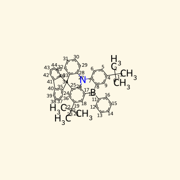 CC(C)(C)c1ccc2c(c1)B(c1ccccc1)c1cc(C(C)(C)C)cc3c1N2c1ccccc1C31c2ccccc2-c2ccccc21